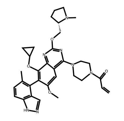 C=CC(=O)N1CCN(c2nc(OC[C@@H]3CCCN3C)nc3c(OC4CC4)c(-c4c(C)ccc5[nH]ncc45)c(OC)cc23)CC1